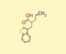 C=CCC(Cc1csc2ccccc12)C(=O)O